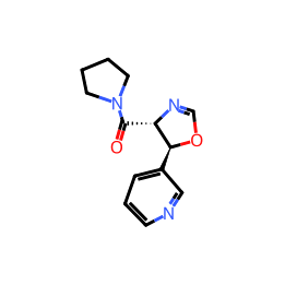 O=C([C@@H]1N=CO[C@H]1c1cccnc1)N1CCCC1